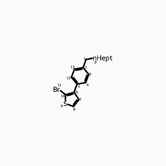 CCCCCCCCc1ccc(-c2ccsc2Br)cc1